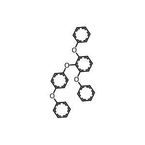 c1ccc(Oc2ccc(Oc3c(Oc4ccccc4)cccc3Oc3ccccc3)cc2)cc1